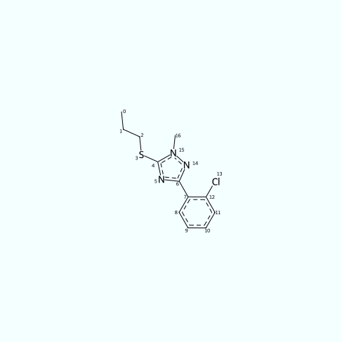 CCCSc1nc(-c2ccccc2Cl)nn1C